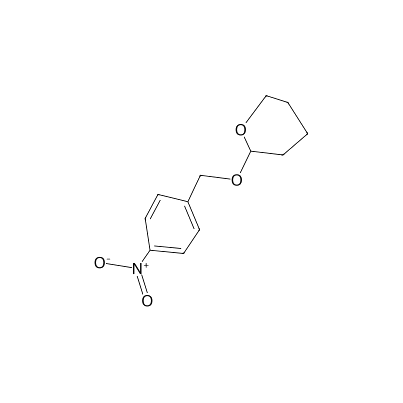 O=[N+]([O-])c1ccc(COC2CCCCO2)cc1